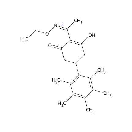 CCO/N=C(/C)C1=C(O)CC(c2c(C)c(C)c(C)c(C)c2C)CC1=O